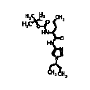 CCCC(NC(=O)OC(C)(C)C)C(=O)Nc1cn(C(CC)CC)cn1